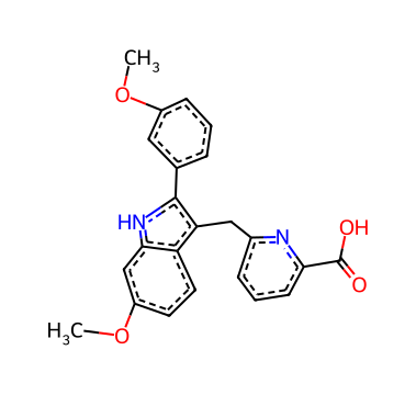 COc1cccc(-c2[nH]c3cc(OC)ccc3c2Cc2cccc(C(=O)O)n2)c1